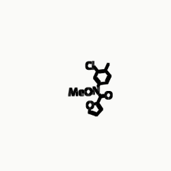 CON(C(=O)c1ccco1)c1ccc(C)c(Cl)c1